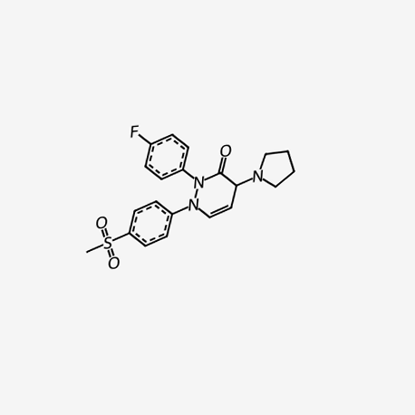 CS(=O)(=O)c1ccc(N2C=CC(N3CCCC3)C(=O)N2c2ccc(F)cc2)cc1